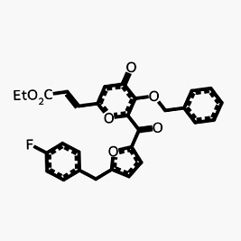 CCOC(=O)/C=C/c1cc(=O)c(OCc2ccccc2)c(C(=O)c2ccc(Cc3ccc(F)cc3)o2)o1